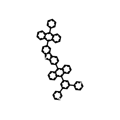 c1ccc(-c2c3ccccc3c(-c3ccc4sc5cc(-c6c7ccccc7c(-c7cc(-c8cccnc8)cc(-c8cccnc8)c7)c7ccccc67)ccc5c4c3)c3ccccc23)cc1